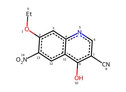 CCOc1cc2ncc(C#N)c(O)c2cc1[N+](=O)[O-]